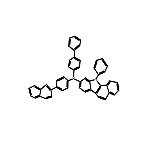 c1ccc(-c2ccc(N(c3ccc(-c4ccc5ccccc5c4)cc3)c3ccc4c5ccc6ccccc6c5n(-c5ccccc5)c4c3)cc2)cc1